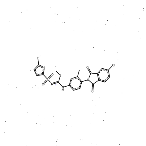 CS/C(=N\S(=O)(=O)c1ccc(Cl)s1)Nc1ccc(N2C(=O)c3ccc(Cl)cc3C2=O)c(C)c1